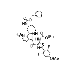 COc1cc(F)c(-c2nc(C(=O)Nc3cnn(C)c3C3CC(NC(=O)OCc4ccccc4)CCCN3)c(NC(=O)OC(C)(C)C)s2)c(F)c1